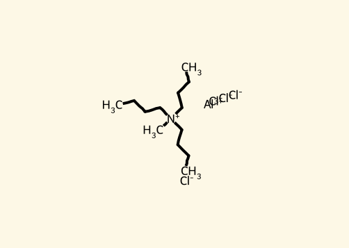 CCCC[N+](C)(CCCC)CCCC.[Al+3].[Cl-].[Cl-].[Cl-].[Cl-]